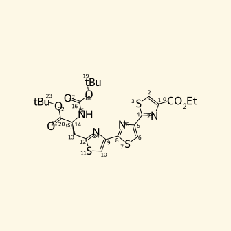 CCOC(=O)c1csc(-c2csc(-c3csc(C[C@H](NC(=O)OC(C)(C)C)C(=O)OC(C)(C)C)n3)n2)n1